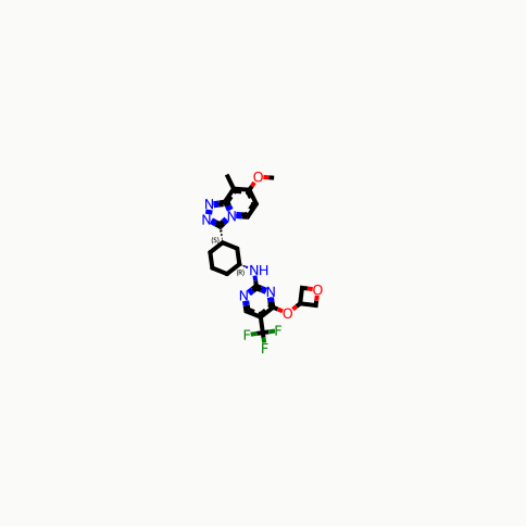 COc1ccn2c([C@H]3CCC[C@@H](Nc4ncc(C(F)(F)F)c(OC5COC5)n4)C3)nnc2c1C